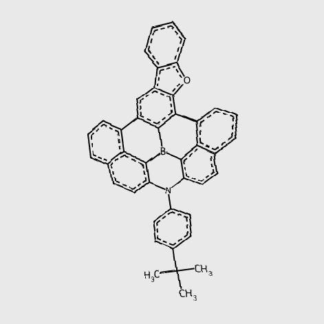 CC(C)(C)c1ccc(N2c3ccc4cccc5c4c3B3c4c-5cc5c(oc6ccccc65)c4-c4cccc5ccc2c3c45)cc1